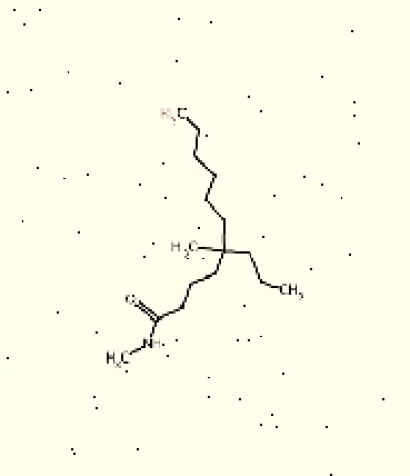 CCCCCCC(C)(CCC)CCCC(=O)NC